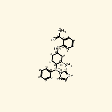 NC(=O)c1cccnc1NC1CCC(N(c2ccccc2)n2cncn2)[C@@H](N)C1